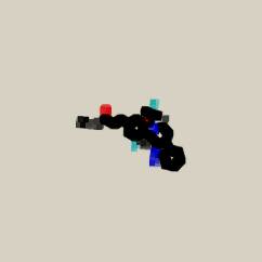 [2H][C@@]1(c2c(F)cc(/C=C/C(=O)OC)cc2F)c2[nH]c3ccccc3c2C[C@@H](C)N1CC(C)(C)F